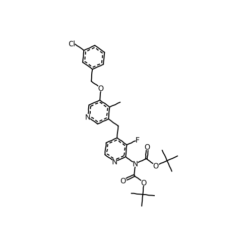 Cc1c(Cc2ccnc(N(C(=O)OC(C)(C)C)C(=O)OC(C)(C)C)c2F)cncc1OCc1cccc(Cl)c1